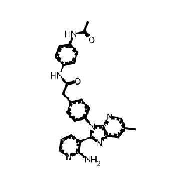 CC(=O)Nc1ccc(NC(=O)Cc2ccc(-n3c(-c4cccnc4N)nc4cc(C)cnc43)cc2)cc1